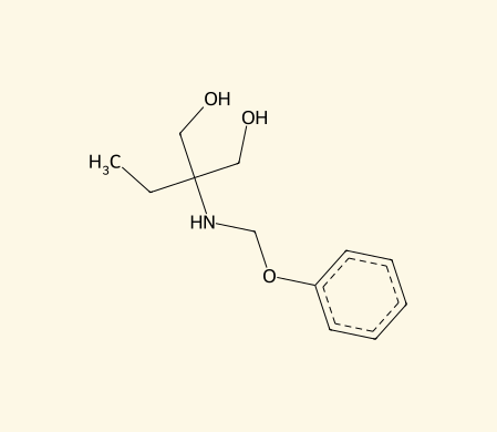 CCC(CO)(CO)NCOc1ccccc1